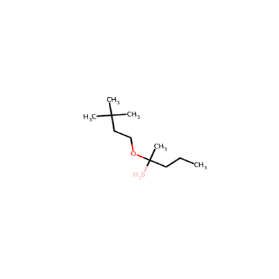 BC(C)(CCC)OCCC(C)(C)C